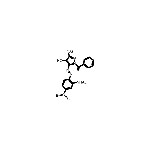 CCN(CC)c1ccc(/N=N/c2c(C#N)c(C(C)(C)C)nn2C(=O)c2ccccc2)c(NC(C)=O)c1